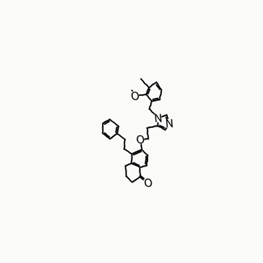 COc1c(C)cccc1Cn1cncc1CCOc1ccc2c(c1CCc1ccccc1)CCCC2=O